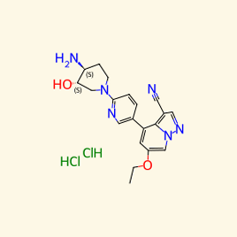 CCOc1cc(-c2ccc(N3CC[C@H](N)[C@@H](O)C3)nc2)c2c(C#N)cnn2c1.Cl.Cl